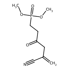 C=C(C#N)CC(=O)CCP(=O)(OC)OC